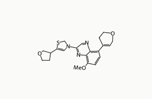 COc1ccc(C2=CCOCC2)c2ncc(N3C=C(C4CCOC4)SC3)nc12